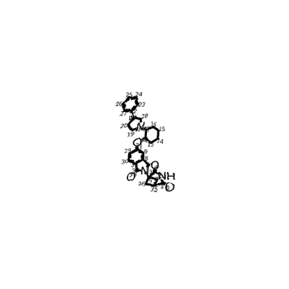 O=C1NC(=O)C2(N3Cc4cc(O[C@@H]5CCCC[C@@H]5N5CC[C@@H](c6ccccc6)C5)ccc4C3=O)CC1C2